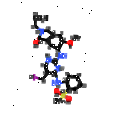 CC(C)Oc1cc2c(cc1Nc1ncc(CI)c(Nc3ccccc3S(=O)(=O)C(C)C)n1)C(=O)N(CC(=O)O)C2